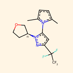 Cc1ccc(C)n1-c1cc(C(F)(F)C(F)(F)F)nn1[C@H]1CCOC1